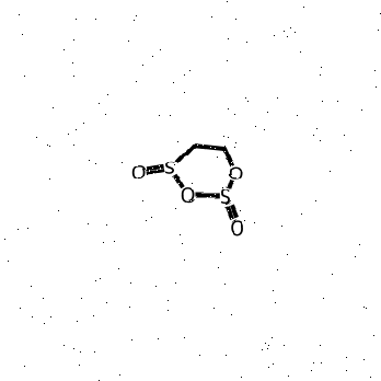 O=S1CCOS(=O)O1